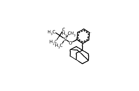 CC(C)(C)[Si](C)(C)Oc1cc[c]cc1C12CC3CC(CC(C3)C1)C2